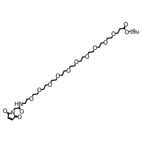 CC(C)(C)OC(=O)CCOCCOCCOCCOCCOCCOCCOCCOCCOCCOCCNC(=O)CN1C(=O)C=CC1=O